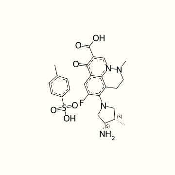 C[C@H]1CN(c2c(F)cc3c(=O)c(C(=O)O)cn4c3c2CCN4C)C[C@H]1N.Cc1ccc(S(=O)(=O)O)cc1